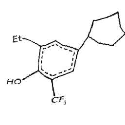 CCc1cc(C2CCCC2)cc(C(F)(F)F)c1O